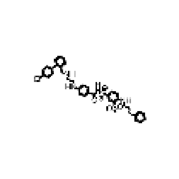 CS(=O)(=O)c1cc(S(=O)(=O)NC(=O)c2ccc(NCCNCc3ccccc3-c3ccc(Cl)cc3)cc2)ccc1NCCSc1ccccc1